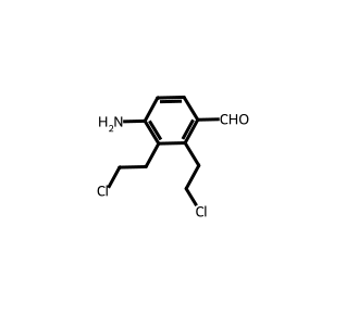 Nc1ccc(C=O)c(CCCl)c1CCCl